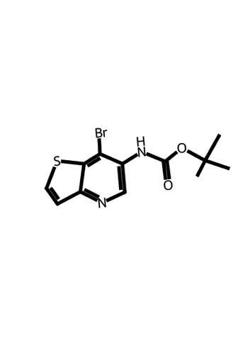 CC(C)(C)OC(=O)Nc1cnc2ccsc2c1Br